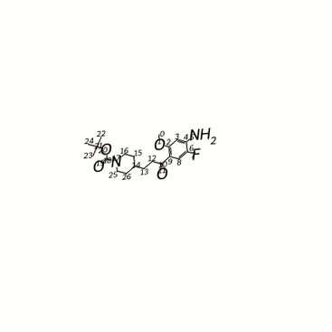 COc1cc(N)c(F)cc1C(=O)CCC1CCN(C(=O)OC(C)(C)C)CC1